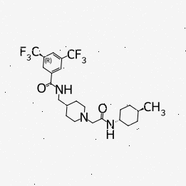 C[C@H]1CC[C@H](NC(=O)CN2CCC(CNC(=O)C3=CC(C(F)(F)F)=C[C@H](C(F)(F)F)C3)CC2)CC1